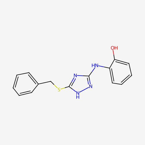 Oc1ccccc1Nc1n[nH]c(SCc2ccccc2)n1